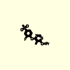 Cc1c(Oc2ccc(S(C)(=O)=O)cc2F)ncnc1OC(C)C